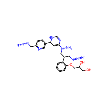 [N-]=[N+]=NCc1ccc(C2C=C(N(N)CC(CN=[N+]=[N-])c3ccccc3OCC(O)CO)N=CN2)cn1